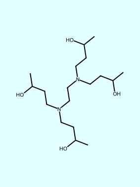 CC(O)CCN(CCC(C)O)CCN(CCC(C)O)CCC(C)O